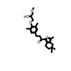 COCC(O)COc1c(C)cc(CCC(=O)c2sc(C)c3c2CCC(C)(C)C3)cc1C